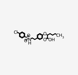 CCCCC(Oc1ccc(CCNS(=O)(=O)c2ccc(Cl)cc2)cc1)C(=O)O